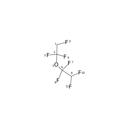 FCC(F)(F)OC(F)(F)C(F)F